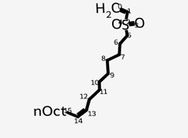 C=CS(=O)(=O)CCCCCCCC/C=C\CCCCCCCC